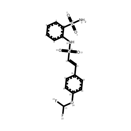 NS(=O)(=O)c1ccccc1NS(=O)(=O)C=Cc1ccc(OC(F)F)cc1